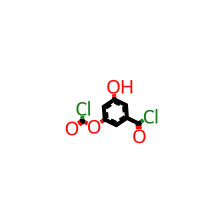 O=C(Cl)Oc1cc(O)cc(C(=O)Cl)c1